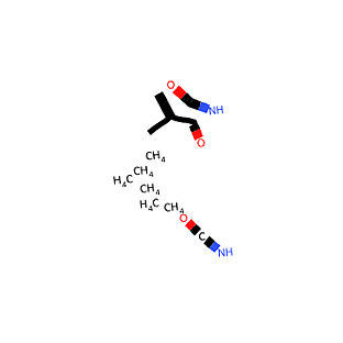 C.C.C.C.C.C.C=C(C)C=O.N=C=O.N=C=O